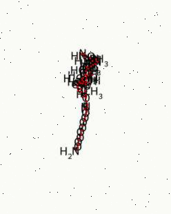 CCc1cc(OCCCCn2cc(COCCOCCOCCOCCOCCOCCOCCOCCN)nn2)ccc1-c1ccc(C[C@H](NC(=O)[C@H](CC(=O)O)NC(=O)[C@H](CO)NC(=O)[C@@H](NC(=O)C(C)(Cc2ccccc2F)NC(=O)[C@@H](NC(=O)CNC(=O)[C@H](Cc2nnn[nH]2)NC(=O)C(C)(C)C(=O)NCCc2cnc[nH]2)[C@@H](C)O)[C@@H](C)O)C(=O)O)cc1